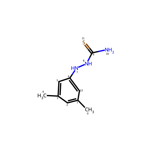 Cc1cc(C)cc(NNC(N)=S)c1